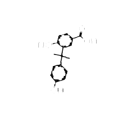 CC(C)(c1ccc(O)cc1)c1cc(C(=O)O)ccc1O